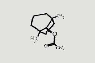 CC(=O)OC1C2(C)CCCC1(C)CC2